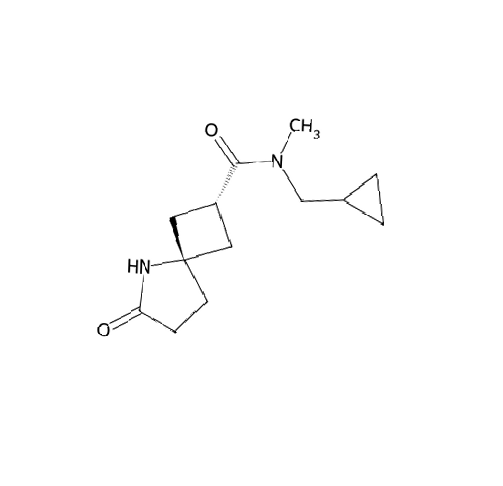 CN(CC1CC1)C(=O)[C@H]1C[C@]2(CCC(=O)N2)C1